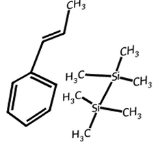 CC=Cc1ccccc1.C[Si](C)(C)[Si](C)(C)C